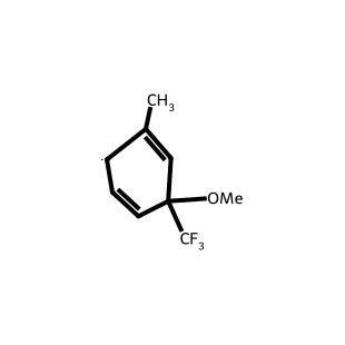 COC1(C(F)(F)F)C=C[CH]C(C)=C1